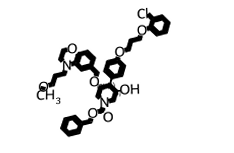 COCCCN1CCOc2ccc(CO[C@H]3CN(C(=O)OCc4ccccc4)C[C@@H](O)[C@@H]3c3ccc(OCCCOc4ccccc4Cl)cc3)cc21